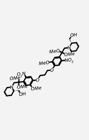 COc1cc(C(CN2CCCC[C@H]2CO)(OC)OC)c([N+](=O)[O-])cc1OCCCOc1cc([N+](=O)[O-])c(C(CN2CCCC[C@H]2CO)(OC)OC)cc1OC